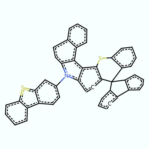 c1ccc2c(c1)Sc1c(ccc3c1c1c4ccccc4ccc1n3-c1ccc3c(c1)sc1ccccc13)C21c2ccccc2-c2ccccc21